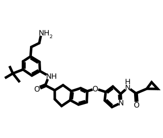 CC(C)(C)c1cc(CCN)cc(NC(=O)C2CCc3ccc(Oc4ccnc(NC(=O)C5CC5)c4)cc3C2)c1